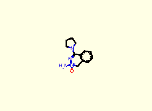 N[N+]1([O-])Cc2ccccc2C(N2CCCC2)=N1